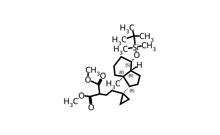 COC(=O)C(CCC1([C@H]2CC[C@H]3[C@@H](O[Si](C)(C)C(C)(C)C)CCC[C@]23C)CC1)C(=O)OC